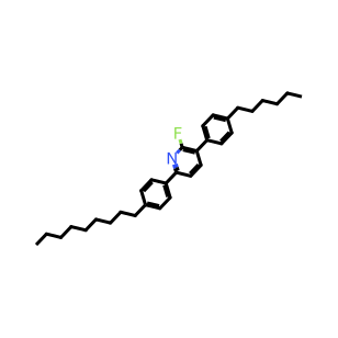 CCCCCCCCCc1ccc(-c2ccc(-c3ccc(CCCCCC)cc3)c(F)n2)cc1